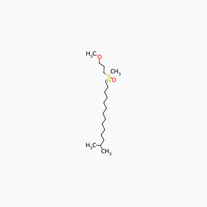 COCCC[SH](C)(=O)CCCCCCCCCCCCC(C)C